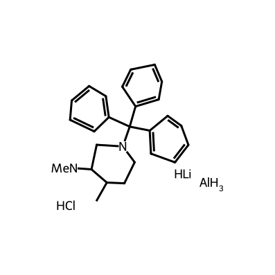 CNC1CN(C(c2ccccc2)(c2ccccc2)c2ccccc2)CCC1C.Cl.[AlH3].[LiH]